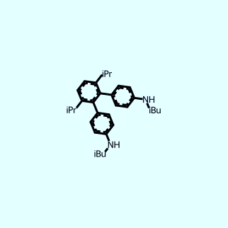 CCC(C)Nc1ccc(-c2c(C(C)C)ccc(C(C)C)c2-c2ccc(NC(C)CC)cc2)cc1